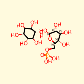 O=P(O)(O)OC[C@H]1O[C@H](O)[C@H](O)[C@@H](O)[C@@H]1O.O[C@H]1[C@H](O)[C@@H](O)[C@H](O)[C@@H](O)[C@H]1O